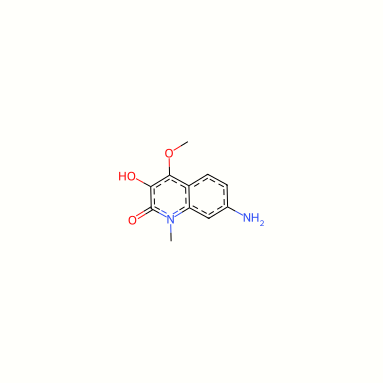 COc1c(O)c(=O)n(C)c2cc(N)ccc12